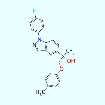 Cc1ccc(OCC(O)(c2ccc3c(cnn3-c3ccc(F)cc3)c2)C(F)(F)F)cc1